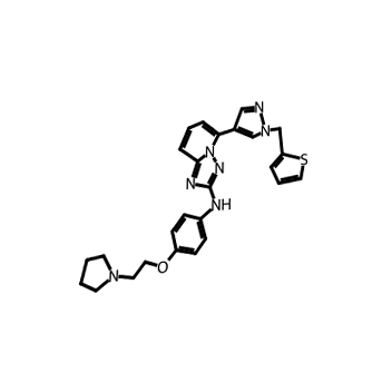 c1csc(Cn2cc(-c3cccc4nc(Nc5ccc(OCCN6CCCC6)cc5)nn34)cn2)c1